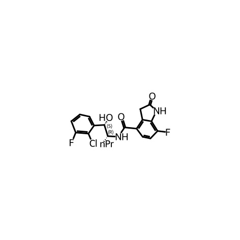 CCC[C@@H](NC(=O)c1ccc(F)c2c1CC(=O)N2)[C@@H](O)c1cccc(F)c1Cl